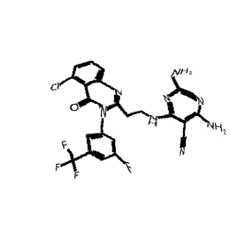 N#Cc1c(N)nc(N)nc1NCCc1nc2cccc(Cl)c2c(=O)n1-c1cc(F)cc(C(F)(F)F)c1